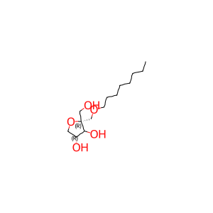 CCCCCCCCOC[C@@]1(CO)OC[C@@H](O)C1O